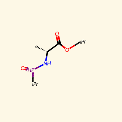 CC(C)OC(=O)[C@@H](C)N[PH](=O)C(C)C